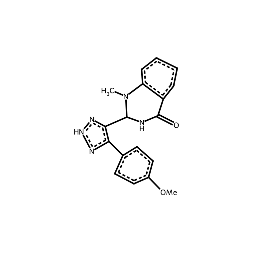 COc1ccc(-c2n[nH]nc2C2NC(=O)c3ccccc3N2C)cc1